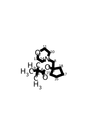 CC(C)(C)C(=O)OC1(CN2CCOCC2)CCCC1